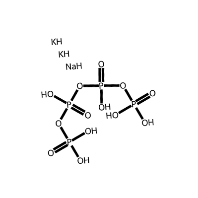 O=P(O)(O)OP(=O)(O)OP(=O)(O)OP(=O)(O)O.[KH].[KH].[NaH]